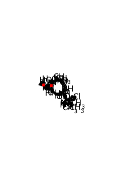 Cc1sc2c(c1C)C(c1ccc(Cl)cc1)=N[C@@H](CC(=O)NC[C@H]1NC(=O)CCNC(=O)[C@@H](Cc3ccc(-c4ccccc4)cc3)NC(=O)[C@@H]3C[C@@H](O)CN3C[C@H](C(C)(C)C)NC(=O)COCCNC1=O)c1nnc(C)n1-2